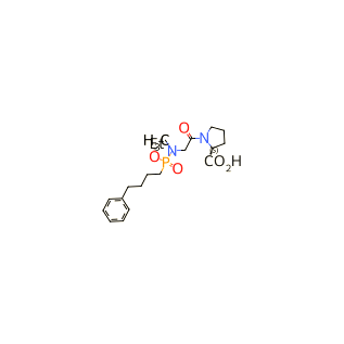 CCOP(=O)(CCCCc1ccccc1)N(C)CC(=O)N1CCC[C@H]1C(=O)O